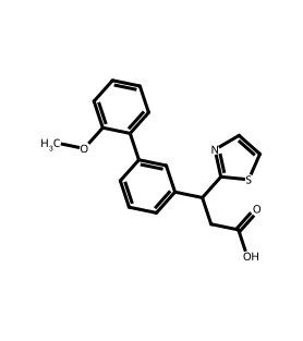 COc1ccccc1-c1cccc(C(CC(=O)O)c2nccs2)c1